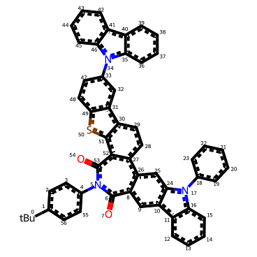 CC(C)(C)c1ccc(-n2c(=O)c3cc4c5ccccc5n(-c5ccccc5)c4cc3c3ccc4c5cc(-n6c7ccccc7c7ccccc76)ccc5sc4c3c2=O)cc1